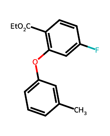 CCOC(=O)c1ccc(F)cc1Oc1cccc(C)c1